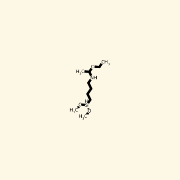 CCOC(C)NCCCC[SiH](OC)OC